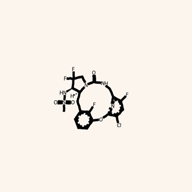 CS(=O)(=O)N[C@@H]1[C@@H]2Cc3cccc(c3F)Oc3nc(c(F)cc3Cl)CNC(=O)N2CC1(F)F